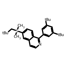 CC(C)(C)CS(C)(C)c1ccc2c(-c3cc(C(C)(C)C)cc(C(C)(C)C)c3)nccc2c1